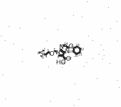 C[Si](C)(C)CCOCn1cc(C(=O)O)c2nc(OC3CCCCC3)cnc21